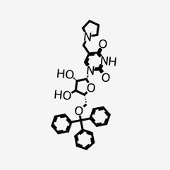 O=c1[nH]c(=O)n([C@@H]2O[C@H](COC(c3ccccc3)(c3ccccc3)c3ccccc3)C(O)[C@@H]2O)cc1CN1CCCC1